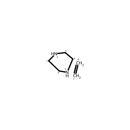 C1CNCCN1.C=C